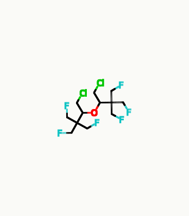 FCC(CF)(CF)C(CCl)OC(CCl)C(CF)(CF)CF